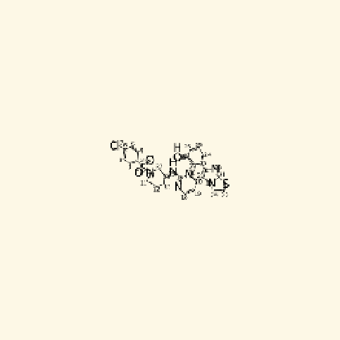 O=S(=O)(c1ccc(Cl)cc1)N1CCC[C@@H](Nc2nccc(C3C(c4cccc(O)c4)N=C4SC=CN43)n2)C1